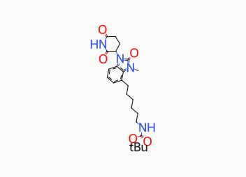 Cn1c(=O)n(C2CCC(=O)NC2=O)c2cccc(CCCCCCNC(=O)OC(C)(C)C)c21